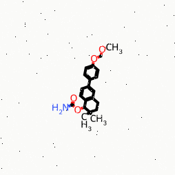 COCOc1ccc(-c2ccc3c(c2)CCC(C)(C)C3OC(N)=O)cc1